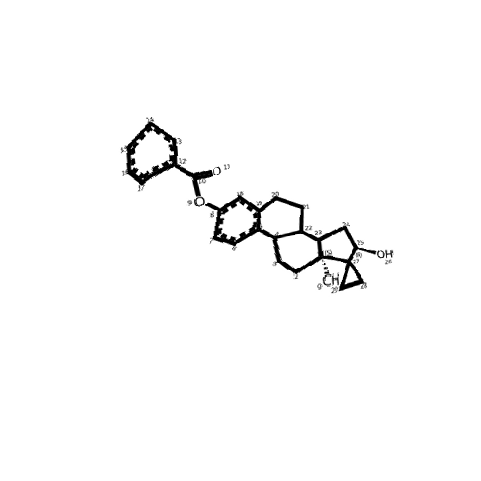 C[C@]12CCC3c4ccc(OC(=O)c5ccccc5)cc4CCC3C1C[C@@H](O)C21CC1